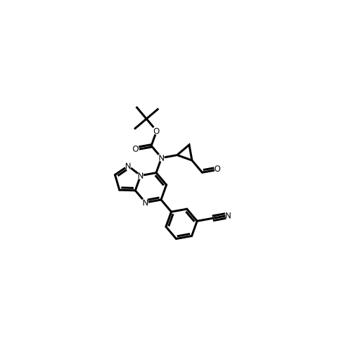 CC(C)(C)OC(=O)N(c1cc(-c2cccc(C#N)c2)nc2ccnn12)C1CC1C=O